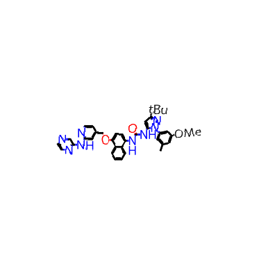 COc1cc(C)cc(-n2nc(C(C)(C)C)cc2NC(=O)Nc2ccc(OCc3ccnc(Nc4cnccn4)c3)c3ccccc23)c1